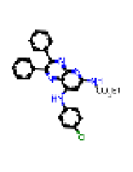 CCOC(=O)Nc1cc(Nc2ccc(Cl)cc2)c2nc(-c3ccccc3)c(-c3ccccc3)nc2n1